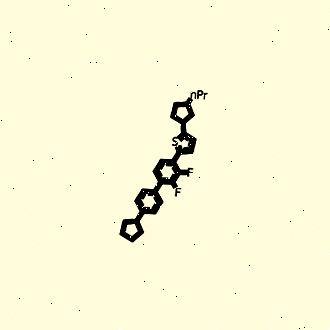 CCCC1CCC(c2ccc(-c3ccc(-c4ccc(C5CCCC5)cc4)c(F)c3F)s2)C1